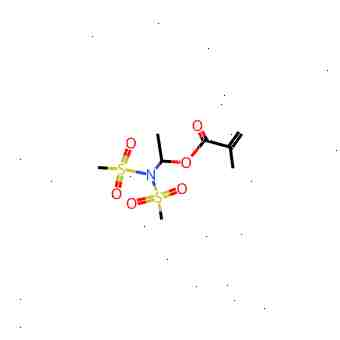 C=C(C)C(=O)OC(C)N(S(C)(=O)=O)S(C)(=O)=O